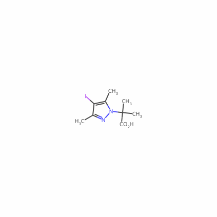 Cc1nn(C(C)(C)C(=O)O)c(C)c1I